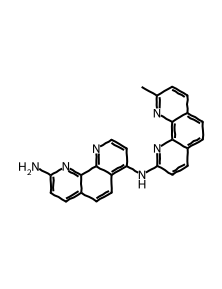 Cc1ccc2ccc3ccc(Nc4ccnc5c4ccc4ccc(N)nc45)nc3c2n1